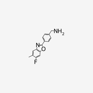 Cc1cc2nc(-c3ccc(CN)cc3)oc2cc1F